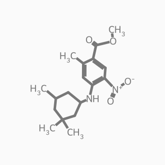 COC(=O)c1cc([N+](=O)[O-])c(NC2CC(C)CC(C)(C)C2)cc1C